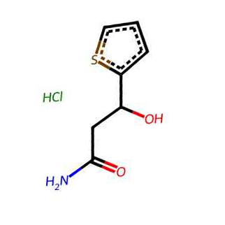 Cl.NC(=O)CC(O)c1cccs1